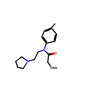 COCC(=O)N(CCN1CCCC1)c1ccc(C)cc1